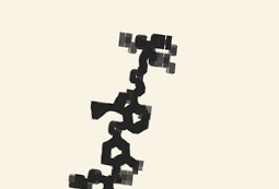 CC(C)(C)OC(=O)Nc1ccc(Oc2ccnc3c2c(C2CC2)cn3COCC[Si](C)(C)C)cc1F